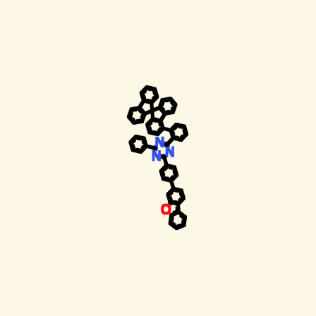 c1ccc(-c2nc(-c3ccc(-c4ccc5c(c4)oc4ccccc45)cc3)nc(-c3ccccc3-c3cccc4c3-c3ccccc3C43c4ccccc4-c4ccccc43)n2)cc1